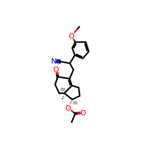 COc1cccc(C(C#N)CC2=C3CC[C@H](OC(C)=O)[C@@]3(C)CCC2=O)c1